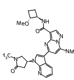 CNc1cc(-c2cn([C@H]3CC(=O)N(C)C3)c3ncccc23)nc2c(C(=O)N[C@@H]3CC[C@H]3OC)cnn12